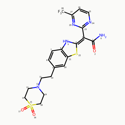 NC(=O)C(=C1Nc2ccc(CCN3CCS(=O)(=O)CC3)cc2S1)c1nccc(C(F)(F)F)n1